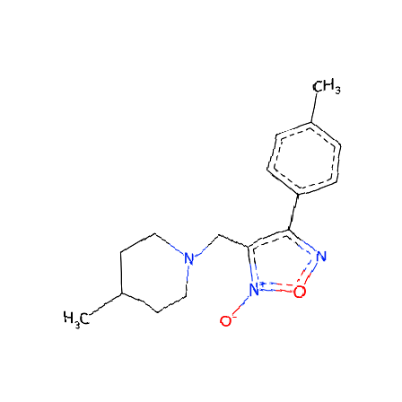 Cc1ccc(-c2no[n+]([O-])c2CN2CCC(C)CC2)cc1